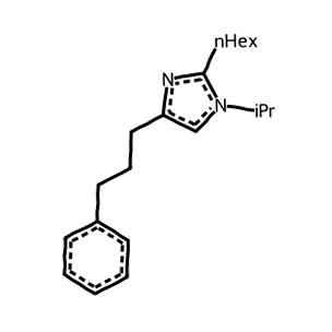 CCCCCCc1nc(CCCc2ccccc2)cn1C(C)C